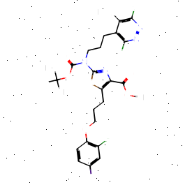 COC(=O)c1nc(N(CCCc2c(Cl)nnc(Cl)c2C)C(=O)OC(C)(C)C)sc1CCCOc1ccc(I)cc1F